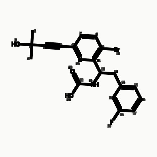 CC(C)(O)C#Cc1ccc(Br)c(C(Cc2cccc(F)c2)NC(=O)O)n1